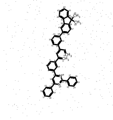 C=C/C(=C\C(=C)c1cccc(-c2cc(-c3ccccc3)nc(-c3ccccc3)n2)c1)c1cccc(-c2ccc3c(c2)-c2ccccc2C3(C)C)c1